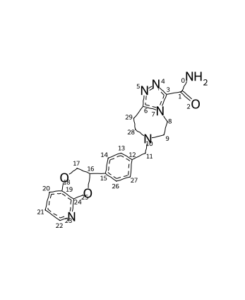 NC(=O)c1nnc2n1CCN(Cc1ccc(C3COc4cccnc4O3)cc1)CC2